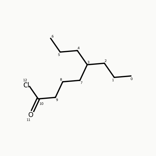 CCCC(CCC)CCCC(=O)Cl